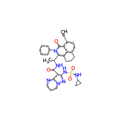 C#Cc1ccc2c3c(c([C@H](C)NC(=O)c4c(NS(=O)(=O)NC5CC5)nn5cccnc45)n(-c4ccccc4)c(=O)c13)CCC2